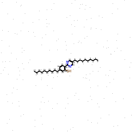 CCCCCCCCCCc1cnc(-c2ccc(CCCCCCCCCC)cc2S)nc1